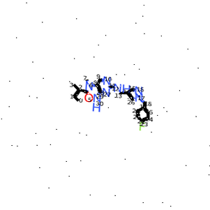 C/C=C(/C)C(=O)N(C)c1cnc(NCc2cnn(Cc3ccc(F)cc3)c2)nc1NC